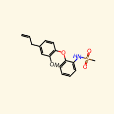 C=CCc1ccc(Oc2ccccc2NS(C)(=O)=O)c(OC)c1